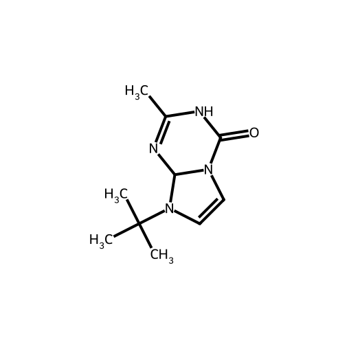 CC1=NC2N(C=CN2C(C)(C)C)C(=O)N1